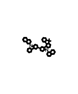 CC1(C)c2ccccc2-c2c1ccc1c2c2cc(-c3ccc4c(c3)c3ccccc3n4-c3ccc4ccccc4c3)ccc2n1-c1cccc2ccccc12